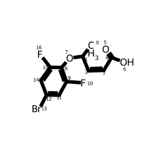 CC(/C=C\C(=O)O)Oc1c(F)cc(Br)cc1F